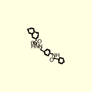 O=C(Nc1ccc(C=NNS(=O)(=O)c2ccc3ccccc3c2)cc1)c1ccccc1